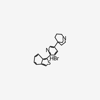 Br.c1ccc2c(-c3ccc(C45CCCN(CC4)C5)cn3)scc2c1